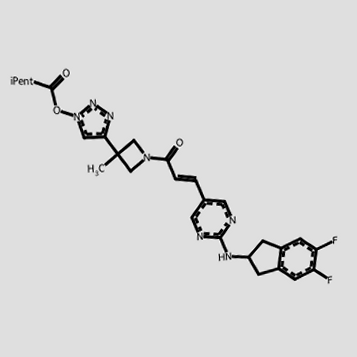 CCCC(C)C(=O)On1cc(C2(C)CN(C(=O)/C=C/c3cnc(NC4Cc5cc(F)c(F)cc5C4)nc3)C2)nn1